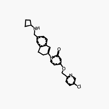 O=c1cc(OCc2ccc(Cl)cn2)ccn1C1=Cc2ccc(CNC3CCC3)cc2CC1